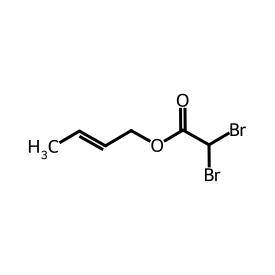 C/C=C/COC(=O)C(Br)Br